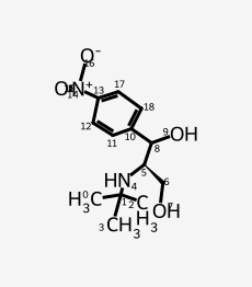 CC(C)(C)N[C@H](CO)C(O)c1ccc([N+](=O)[O-])cc1